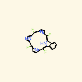 Fc1c2nc(c(F)c3[nH]c(c(F)c4nc(c(F)c5ccc1[nH]5)C=C4)c1ccccc31)C=C2